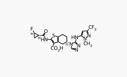 Cn1nc(C(F)(F)F)cc1Nc1nncn1[C@H]1CCc2sc(NC(=O)[C@H]3C[C@H]3F)c(C(=O)O)c2C1